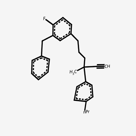 C#CC(C)(CCCc1ccc(F)c(Cc2ccccc2)c1)c1ccc(CCC)cc1